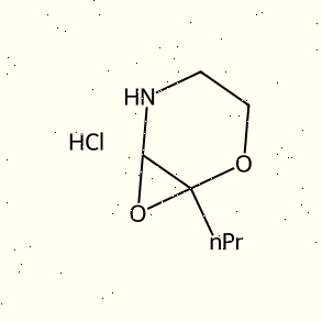 CCCC12OCCNC1O2.Cl